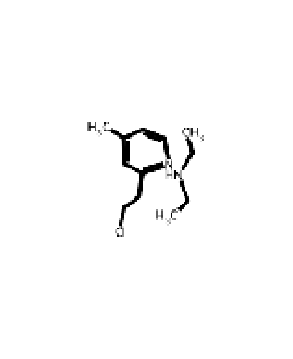 CCNCC.Cc1ccnc(CCCl)c1